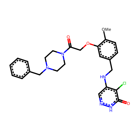 COc1ccc(CNc2cn[nH]c(=O)c2Cl)cc1OCC(=O)N1CCN(Cc2ccccc2)CC1